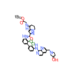 CC(C)(C)OC(=O)CN[C@H]1CCCn2nc(C(=O)Nc3cccc(-c4cccc(Nc5nccc6cc(CN7CC[C@@H](O)C7)cnc56)c4Cl)c3Cl)cc21